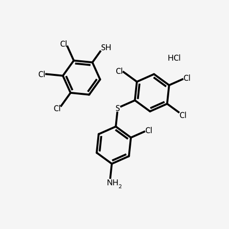 Cl.Nc1ccc(Sc2cc(Cl)c(Cl)cc2Cl)c(Cl)c1.Sc1ccc(Cl)c(Cl)c1Cl